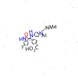 CNCCCN(C(C)=O)c1ccc(N/C(=C2\C(=O)Nc3cc(F)ccc32)c2ccc(CC(=O)O)cc2)cc1